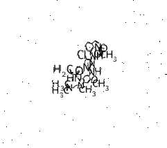 C=CC(=O)Nc1cc(Nc2ncc(Cl)c(Nc3cccc4ccn(S(C)(=O)=O)c34)n2)c(OC)cc1N(C)CCN(C)C